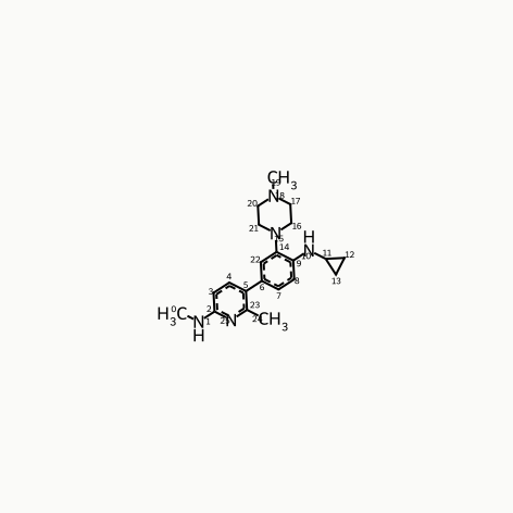 CNc1ccc(-c2ccc(NC3CC3)c(N3CCN(C)CC3)c2)c(C)n1